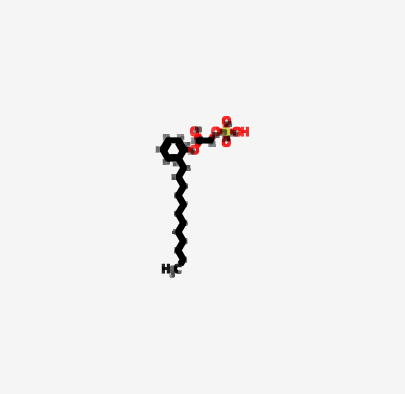 CCCCCCCCCCCCc1ccccc1OC(=O)COS(=O)(=O)O